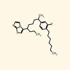 CCCCCCCc1ccc(C(C)CCCC(CCC)c2csc3nccn23)cc1F